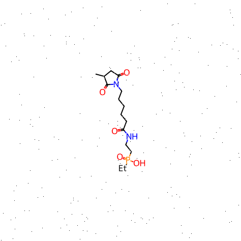 CCP(=O)(O)CCNC(=O)CCCCCN1C(=O)CC(C)C1=O